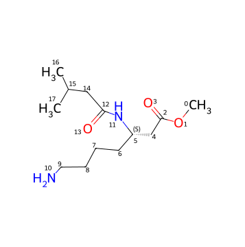 COC(=O)C[C@H](CCCCN)NC(=O)CC(C)C